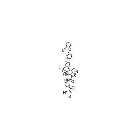 Cc1cc(Oc2cccc(COc3ccccc3C#N)c2)ccc1N1C(=O)Nc2c(C(=O)N[C@@H]3CCCN(C(=O)/C(C#N)=C/C4CC4)C3)sc3nccc1c23